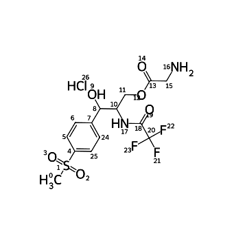 CS(=O)(=O)c1ccc(C(O)C(COC(=O)CN)NC(=O)C(F)(F)F)cc1.Cl